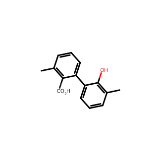 Cc1cccc(-c2cccc(C)c2C(=O)O)c1O